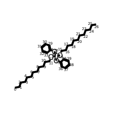 CCCCCCCCCCCC[O][Ti]([O]CCCCCCCCCCCC)([O]c1ccccc1)[O]c1ccccc1